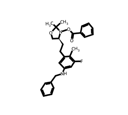 Cc1c(F)cc(NCc2ccccc2)cc1CC[C@H]1COC(C)(C)N1OC(=O)c1ccccc1